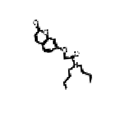 CCCCN(CCCC)C(=O)COc1ccc2ccc(=O)oc2c1